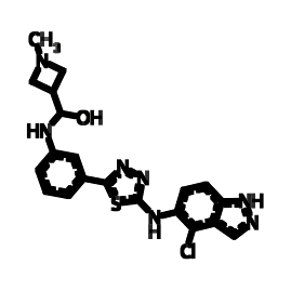 CN1CC(C(O)Nc2cccc(-c3nnc(Nc4ccc5[nH]ncc5c4Cl)s3)c2)C1